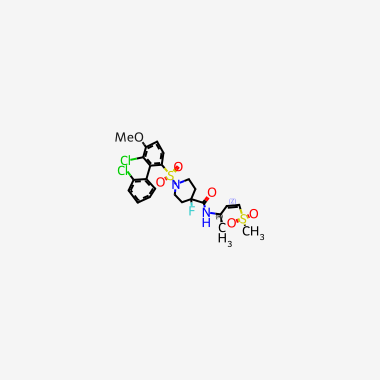 COc1ccc(S(=O)(=O)N2CCC(F)(C(=O)N[C@H](C)/C=C\S(C)(=O)=O)CC2)c(-c2ccccc2Cl)c1Cl